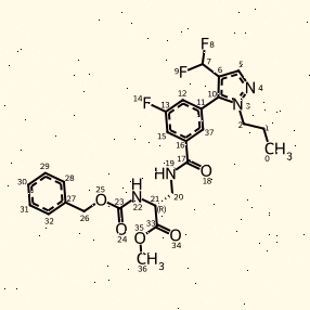 CCCn1ncc(C(F)F)c1-c1cc(F)cc(C(=O)NC[C@@H](NC(=O)OCc2ccccc2)C(=O)OC)c1